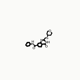 O=C(Nc1ccccc1)c1ccc2c(=O)[nH]c(CSC3CCOCC3)nc2c1